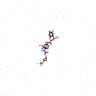 O=C(COC1CC(OC(F)(F)F)C1)NC12CCC(NC(=O)[C@H]3C[C@@H](O)c4cc(Cl)c(F)cc4O3)(CC1)C[C@@H]2O